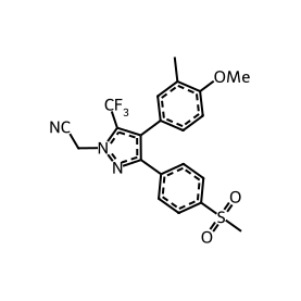 COc1ccc(-c2c(-c3ccc(S(C)(=O)=O)cc3)nn(CC#N)c2C(F)(F)F)cc1C